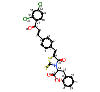 O=C(/C=C/c1ccc(/C=C2\SC(=S)N(C(Cc3ccccc3)C(=O)O)C2=O)cc1)c1ccc(Cl)cc1Cl